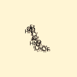 CCS(=O)(=O)Nc1ccc2cc(C(=O)Nc3cccc(-c4ccc(F)cc4)c3F)n(C)c2c1